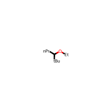 CCCC(OCC)C(C)(C)C